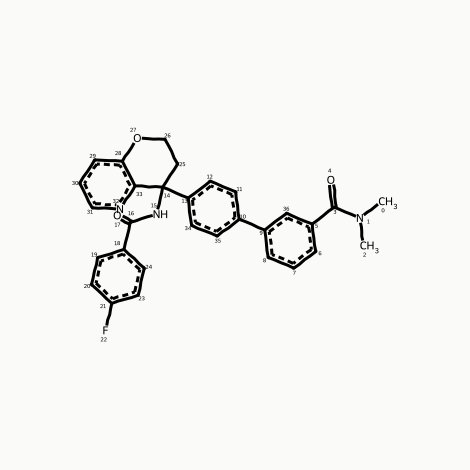 CN(C)C(=O)c1cccc(-c2ccc(C3(NC(=O)c4ccc(F)cc4)CCOc4cccnc43)cc2)c1